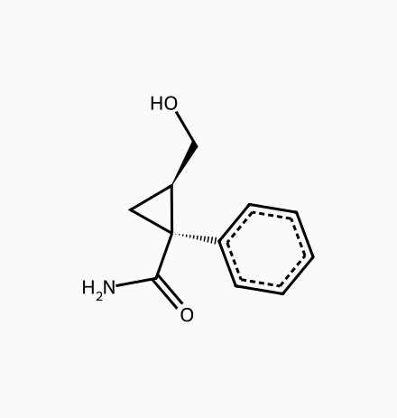 NC(=O)[C@@]1(c2ccccc2)C[C@H]1CO